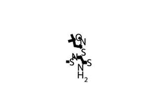 CSN=C(SC1=NOC(C)(C)C1)C(N)=S